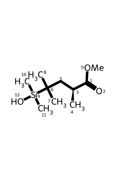 COC(=O)[C@@H](C)CC(C)(C)[Si](C)(C)O